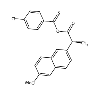 COc1ccc2cc([C@H](C)C(=O)OC(=S)c3ccc(Cl)cc3)ccc2c1